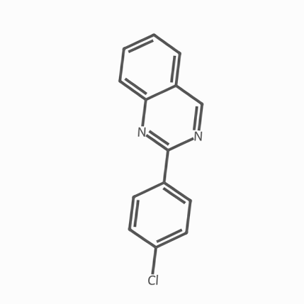 Clc1ccc(-c2ncc3ccccc3n2)cc1